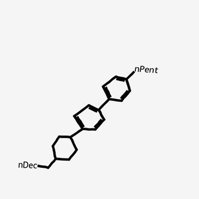 CCCCCCCCCCCC1CCC(c2ccc(-c3ccc(CCCCC)cc3)cc2)CC1